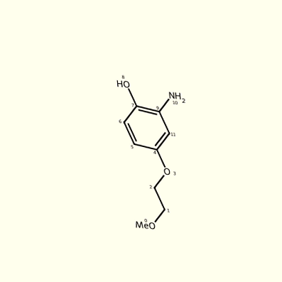 COCCOc1ccc(O)c(N)c1